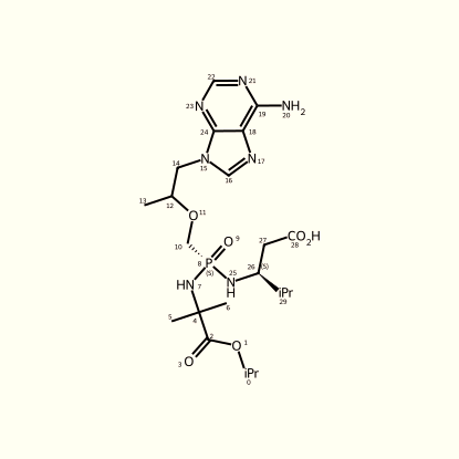 CC(C)OC(=O)C(C)(C)N[P@](=O)(COC(C)Cn1cnc2c(N)ncnc21)N[C@@H](CC(=O)O)C(C)C